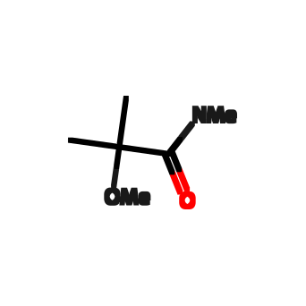 [CH2]NC(=O)C(C)(C)OC